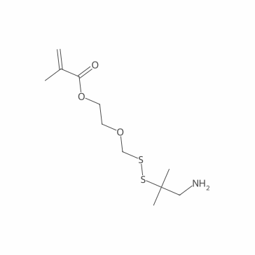 C=C(C)C(=O)OCCOCSSC(C)(C)CN